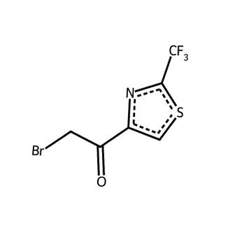 O=C(CBr)c1csc(C(F)(F)F)n1